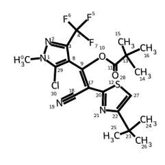 Cn1nc(C(F)(F)F)c(C(OC(=O)C(C)(C)C)=C(C#N)c2nc(C(C)(C)C)cs2)c1Cl